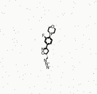 [N-]=[N+]=NC[C@H]1CC(c2ccc(N3CCOCC3)c(F)c2)=NO1